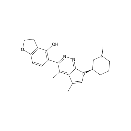 Cc1cn([C@@H]2CCCN(C)C2)c2nnc(-c3ccc4c(c3O)CCO4)c(C)c12